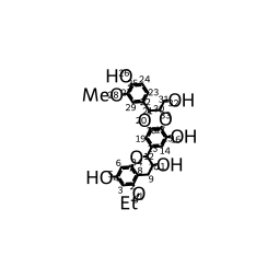 CCOc1cc(O)cc2c1CC(O)C(c1cc(O)c3c(c1)OC(c1ccc(O)c(OC)c1)C(CO)O3)O2